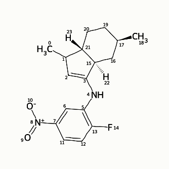 CC1C=C(Nc2cc([N+](=O)[O-])ccc2F)[C@@H]2C[C@H](C)CC[C@@H]12